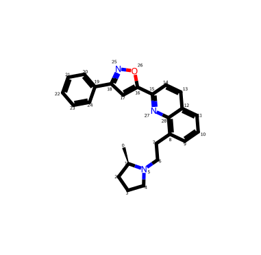 C[C@@H]1CCCN1CCc1cccc2ccc(-c3cc(-c4ccccc4)no3)nc12